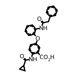 O=C(Cc1ccccc1)Nc1ccccc1Oc1ccc(NC(=O)C2CC2)c(C(=O)O)c1